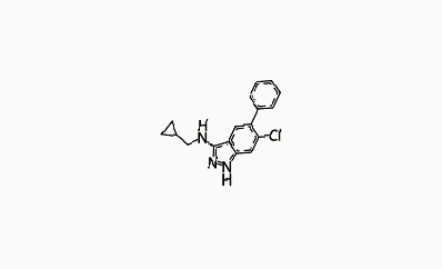 Clc1cc2[nH]nc(NCC3CC3)c2cc1-c1ccccc1